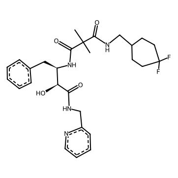 CC(C)(C(=O)NCC1CCC(F)(F)CC1)C(=O)N[C@H](Cc1ccccc1)[C@H](O)C(=O)NCc1ccccn1